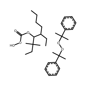 CC(C)(OOC(C)(C)c1ccccc1)c1ccccc1.CCCCC(CC)C(OC(=O)OO)C(C)(C)CC